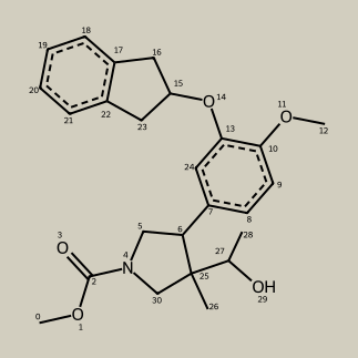 COC(=O)N1CC(c2ccc(OC)c(OC3Cc4ccccc4C3)c2)C(C)(C(C)O)C1